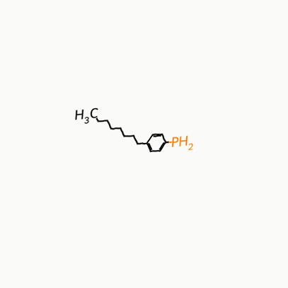 CCCCCCCCc1ccc(P)cc1